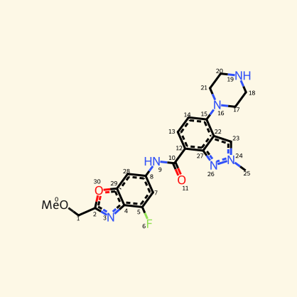 COCc1nc2c(F)cc(NC(=O)c3ccc(N4CCNCC4)c4cn(C)nc34)cc2o1